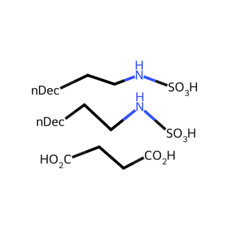 CCCCCCCCCCCCNS(=O)(=O)O.CCCCCCCCCCCCNS(=O)(=O)O.O=C(O)CCC(=O)O